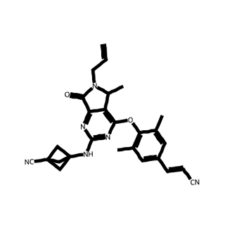 C=CCN1C(=O)c2nc(NC34CC(C#N)(C3)C4)nc(Oc3c(C)cc(/C=C/C#N)cc3C)c2C1C